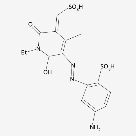 CCN1C(=O)C(=CS(=O)(=O)O)C(C)=C(N=Nc2cc(N)ccc2S(=O)(=O)O)C1O